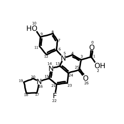 O=C(O)c1cn(-c2ccc(O)cc2)c2nc(N3CCCC3)c(F)cc2c1=O